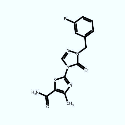 Cc1nc(-n2cnn(Cc3cccc(F)c3)c2=O)sc1C(N)=O